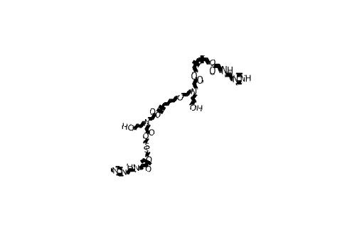 CCC(C)(OCCSSCCOC(=O)CCN(CCCCO)CCC(=O)OC(C)(C)C(C)(C)CCCCCOCCCN(CCCCO)CCC(=O)OCCC(C)(C)CC(C)(C)CCOC(=O)CCNCCCN1CCNCC1)C(=O)CCNCCCN1CCN(C)CC1